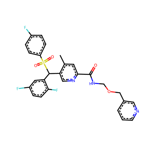 Cc1cc(C(=O)NCOCc2cccnc2)ncc1C(c1cc(F)ccc1F)S(=O)(=O)c1ccc(F)cc1